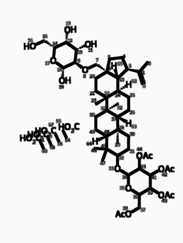 C=C(C)[C@@H]1CC[C@]2(CO[C@@H]3[C@@H](O)[C@@H](O)[C@@H](CO)O[C@H]3O)CC[C@]3(C)[C@H](CC[C@@H]4[C@@]5(C)CCC(OC6OC(COC(C)=O)C(OC(C)=O)C(OC(C)=O)C6OC(C)=O)C(C)(C)[C@@H]5CC[C@]43C)[C@@H]12.CC(=O)O.CC(=O)O.CC(=O)O.CC(=O)O